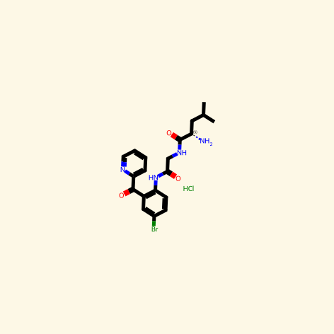 CC(C)C[C@H](N)C(=O)NCC(=O)Nc1ccc(Br)cc1C(=O)c1ccccn1.Cl